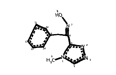 Cn1cnnc1/C(=N/O)c1ccccc1